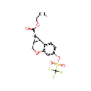 CCOC(=O)[C@@H]1C2COc3cc(OS(=O)(=O)C(F)(F)F)ccc3C21